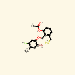 CCC(=O)Oc1cccc(CS)c1COc1cc(F)c(C)cc1Br